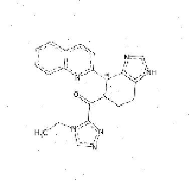 CCn1cnnc1C(=O)N1CCc2[nH]cnc2[C@H]1c1ccc2ccccc2n1